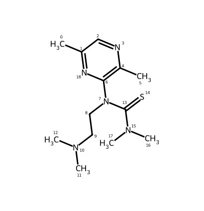 Cc1cnc(C)c(N(CCN(C)C)C(=S)N(C)C)n1